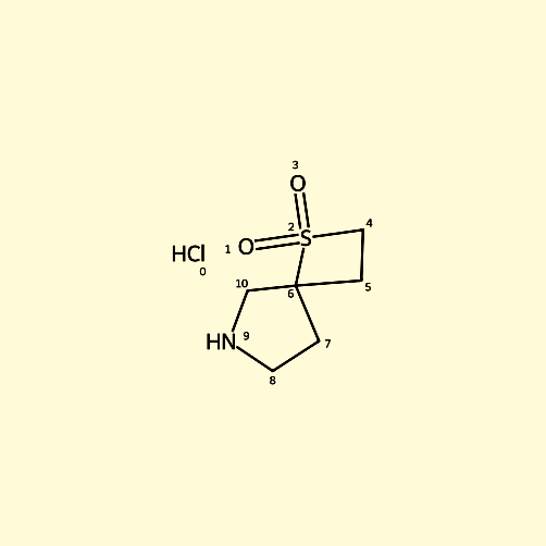 Cl.O=S1(=O)CCC12CCNC2